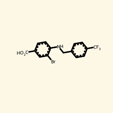 O=C(O)c1ccc(NCc2ccc(C(F)(F)F)cc2)c(Br)c1